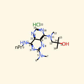 CCCNc1nc(N(C)C)nc2c(N(C)CC(C)(C)O)ncnc12.Cl